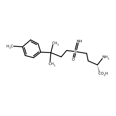 Cc1ccc(C(C)(C)CCS(=N)(=O)CC[C@H](N)C(=O)O)cc1